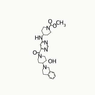 COC(=O)N1CCC(Nc2cc(C(=O)N3CCC(N4CCc5ccccc5C4)[C@@H](O)C3)ncn2)CC1